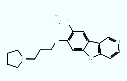 COc1cc2c(cc1OCCCN1CCCC1)[nH]c1ccncc12.Cl